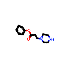 O=C(CCN1CCNCC1)Oc1ccccc1